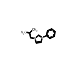 CC(C)CN1C=CN(c2ccccc2)C1